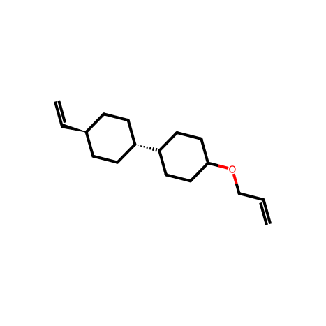 C=CCOC1CCC([C@H]2CC[C@H](C=C)CC2)CC1